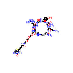 N=C(N)NCCC[C@@H]1NC(=O)[C@@H](NC(=O)COCCOCCOCCNC(=O)CCCC[C@@H]2SC[C@@H]3NC(=O)N[C@@H]32)Cc2cn(nn2)CCCC[C@@H](C(N)=O)NC(=O)[C@H](CCCCN)NC(=O)[C@H](CC(N)=O)NC(=O)[C@H](Cc2ccc(O)cc2)NC(=O)[C@H](CO)NC1=O